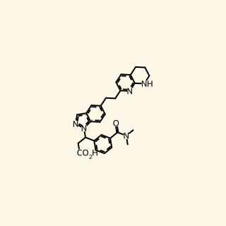 CN(C)C(=O)c1cccc(C(CC(=O)O)n2ncc3cc(CCc4ccc5c(n4)NCCC5)ccc32)c1